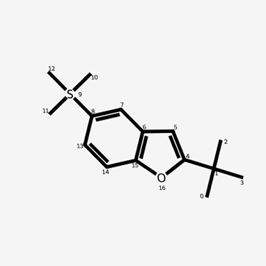 CC(C)(C)c1cc2cc(S(C)(C)C)ccc2o1